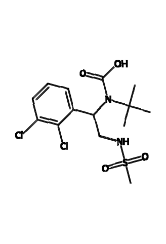 CC(C)(C)N(C(=O)O)C(CNS(C)(=O)=O)c1cccc(Cl)c1Cl